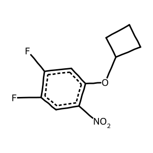 O=[N+]([O-])c1cc(F)c(F)cc1OC1CCC1